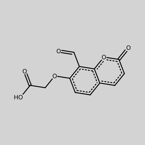 O=Cc1c(OCC(=O)O)ccc2ccc(=O)oc12